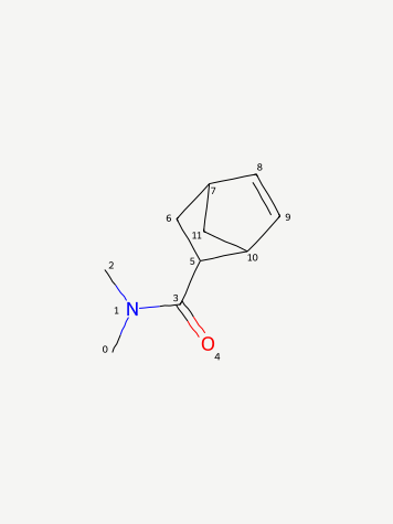 CN(C)C(=O)C1CC2C=CC1C2